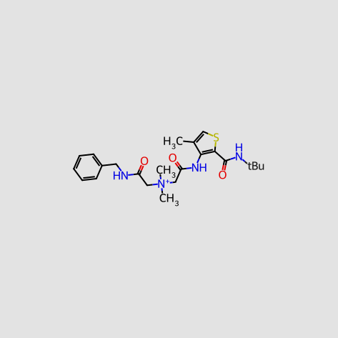 Cc1csc(C(=O)NC(C)(C)C)c1NC(=O)C[N+](C)(C)CC(=O)NCc1ccccc1